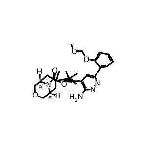 COCOc1ccccc1-c1cc(C#CC2(C)C[C@H]3COC[C@@H](C2)N3C(=O)OC(C)(C)C)c(N)nn1